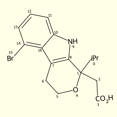 CC(C)C1(CC(=O)O)OCCc2c1[nH]c1cccc(Br)c21